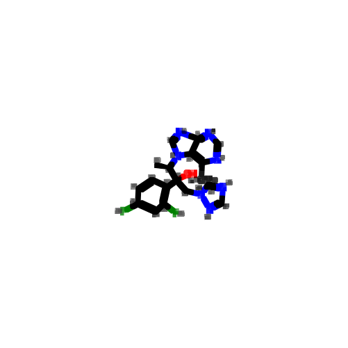 COc1ncnc2ncn([C@H](C)[C@](O)(Cn3cncn3)c3ccc(F)cc3F)c12